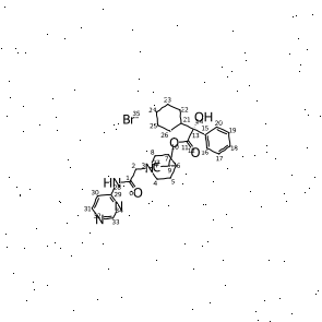 O=C(C[N+]12CCC(CC1)C(OC(=O)[C@](O)(c1ccccc1)C1CCCCC1)C2)Nc1ccncn1.[Br-]